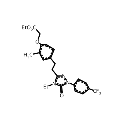 CCOC(=O)COc1ccc(CCc2nn(-c3ccc(C(F)(F)F)cc3)c(=O)n2CC)cc1C